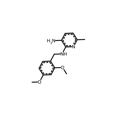 COc1ccc(CNc2nc(C)ccc2N)c(OC)c1